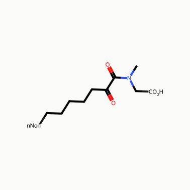 CCCCCCCCCCCCCCC(=O)C(=O)N(C)CC(=O)O